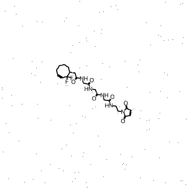 O=C(CNC(=O)CNC(=O)CNC(=O)CC1CCCCC#CC1(F)F)NCCN1C(=O)C=CC1=O